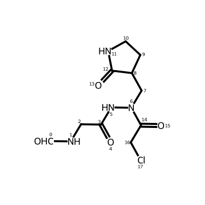 O=CNCC(=O)NN(CC1CCNC1=O)C(=O)CCl